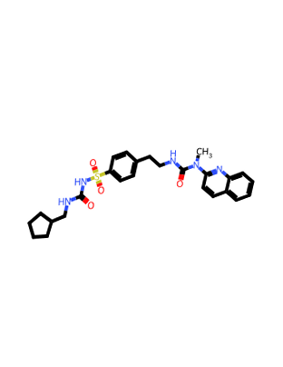 CN(C(=O)NCCc1ccc(S(=O)(=O)NC(=O)NCC2CCCC2)cc1)c1ccc2ccccc2n1